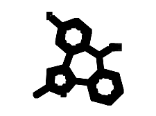 Cc1cc2c(s1)-c1ccccc1C(O)c1ccc(F)cc1-2